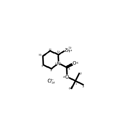 CC(C)(C)OC(=O)N1CCCC[CH]1[Zn+].[Cl-]